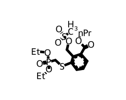 CCCOC(=O)c1cccc(SCP(=O)(OCC)OCC)c1COS(C)(=O)=O